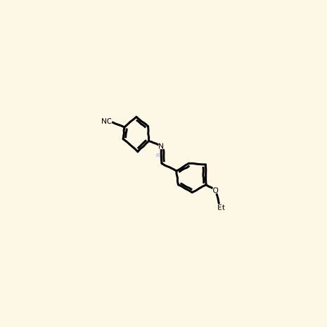 CCOc1ccc(/C=N/c2ccc(C#N)cc2)cc1